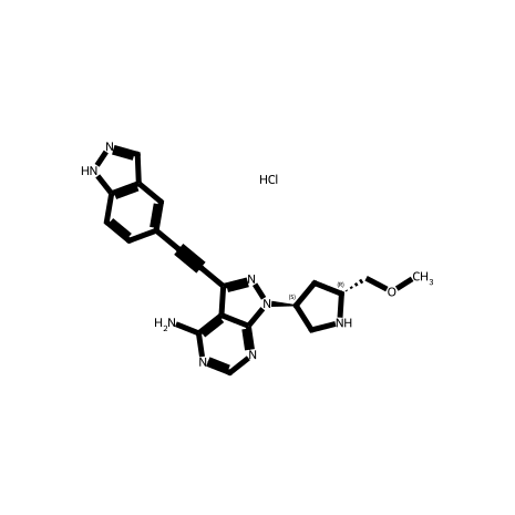 COC[C@H]1C[C@H](n2nc(C#Cc3ccc4[nH]ncc4c3)c3c(N)ncnc32)CN1.Cl